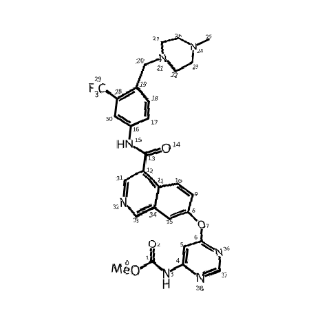 COC(=O)Nc1cc(Oc2ccc3c(C(=O)Nc4ccc(CN5CCN(C)CC5)c(C(F)(F)F)c4)cncc3c2)ncn1